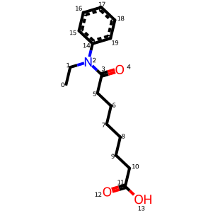 CCN(C(=O)CCCCCCC(=O)O)c1ccccc1